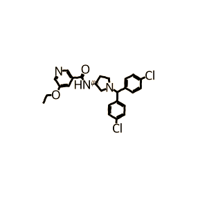 CCOc1cncc(C(=O)N[C@@H]2CCN(C(c3ccc(Cl)cc3)c3ccc(Cl)cc3)C2)c1